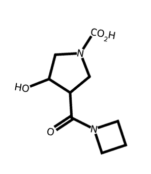 O=C(O)N1CC(O)C(C(=O)N2CCC2)C1